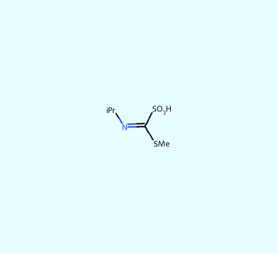 CSC(=NC(C)C)S(=O)(=O)O